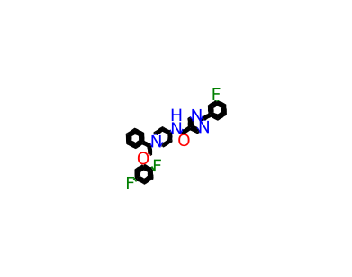 O=C(NC1CCN(C(COc2cc(F)ccc2F)c2ccccc2)CC1)c1cnc(-c2cccc(F)c2)nc1